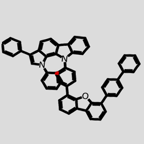 c1ccc(-c2ccc(-c3cccc4c3oc3c(-c5ccc(-n6c7ccccc7c7ccc8c(-c9ccccc9)cn(-c9ccccc9)c8c76)cc5)cccc34)cc2)cc1